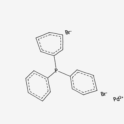 [Br-].[Br-].[Pd+2].c1ccc(P(c2ccccc2)c2ccccc2)cc1